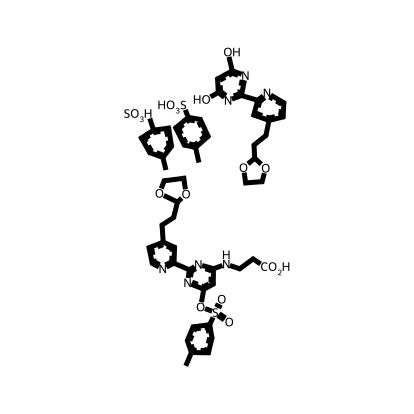 Cc1ccc(S(=O)(=O)O)cc1.Cc1ccc(S(=O)(=O)O)cc1.Cc1ccc(S(=O)(=O)Oc2cc(NCCC(=O)O)nc(-c3cc(CCC4OCCO4)ccn3)n2)cc1.Oc1cc(O)nc(-c2cc(CCC3OCCO3)ccn2)n1